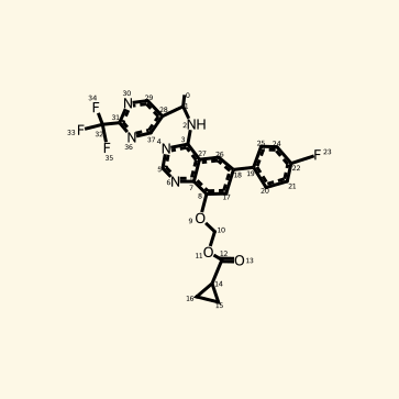 CC(Nc1ncnc2c(OCOC(=O)C3CC3)cc(-c3ccc(F)cc3)cc12)c1cnc(C(F)(F)F)nc1